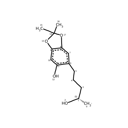 [CH2][C@H](O)CCCc1cc2c(cc1O)OC(C)(C)O2